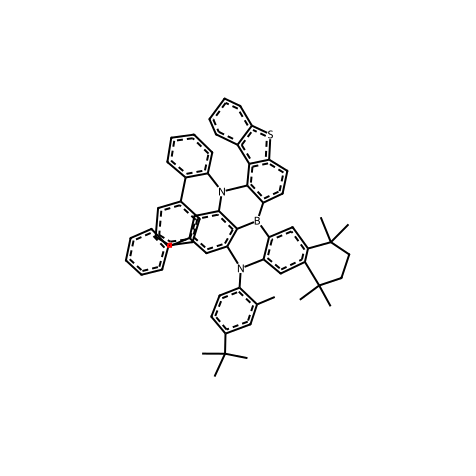 Cc1cc(C(C)(C)C)ccc1N1c2cc3c(cc2B2c4ccc5sc6ccccc6c5c4N(c4ccccc4-c4ccccc4)c4cc(-c5ccccc5)cc1c42)C(C)(C)CCC3(C)C